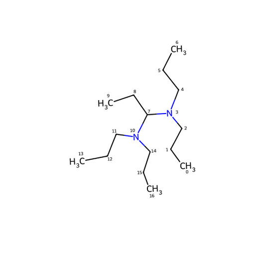 CCCN(CCC)C(CC)N(CCC)CCC